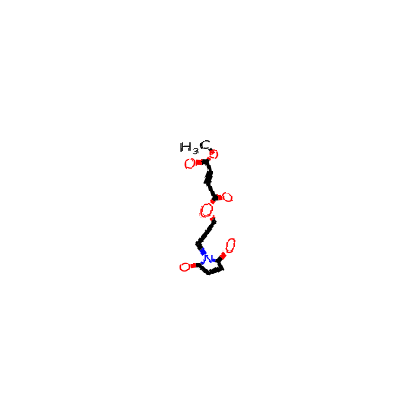 COC(=O)C=CC(=O)OCCN1C(=O)C=CC1=O